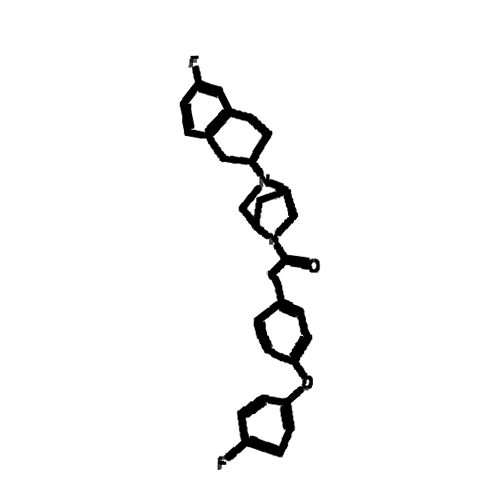 O=C(Cc1ccc(Oc2ccc(F)cc2)cc1)N1CC2CC1CN2C1CCc2cc(F)ccc2C1